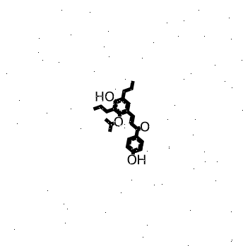 CCCc1cc(/C=C/C(=O)c2ccc(O)cc2)c(OC(C)C)c(CCC)c1O